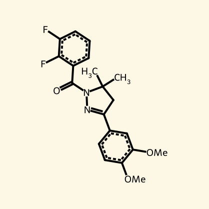 COc1ccc(C2=NN(C(=O)c3cccc(F)c3F)C(C)(C)C2)cc1OC